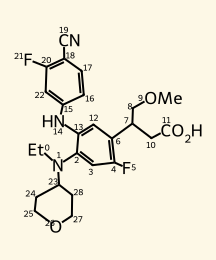 CCN(c1cc(F)c(C(COC)CC(=O)O)cc1Nc1ccc(C#N)c(F)c1)C1CCOCC1